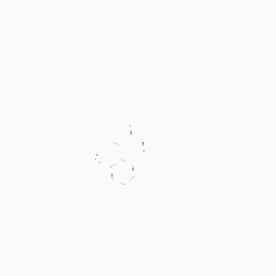 CCOC=C(C(=O)OCC)C(=O)c1ccccc1[N+](=O)[O-]